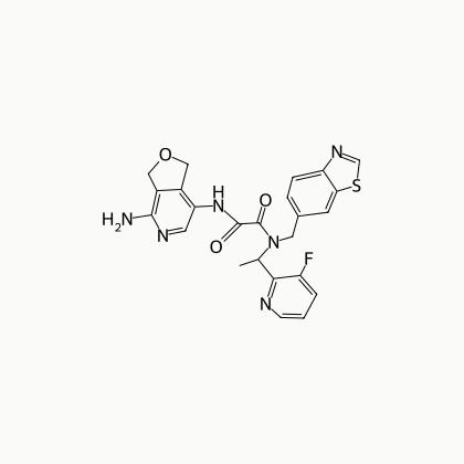 CC(c1ncccc1F)N(Cc1ccc2ncsc2c1)C(=O)C(=O)Nc1cnc(N)c2c1COC2